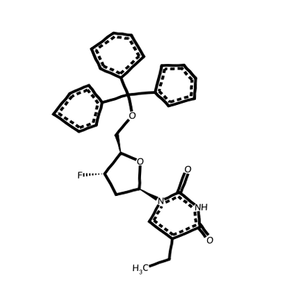 CCc1cn([C@H]2C[C@H](F)[C@@H](COC(c3ccccc3)(c3ccccc3)c3ccccc3)O2)c(=O)[nH]c1=O